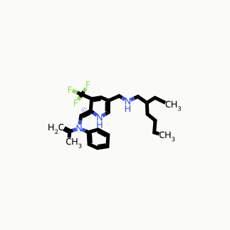 C=C(C)N(/C=C1\NC=C(CNCC(CC)CCCC)C=C1C(F)(F)F)c1ccccc1